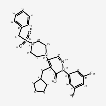 O=c1c(CC2CCCC2)c(N2CCN(S(=O)(=O)Cc3ccccc3)CC2)cnn1-c1cc(F)cc(F)c1